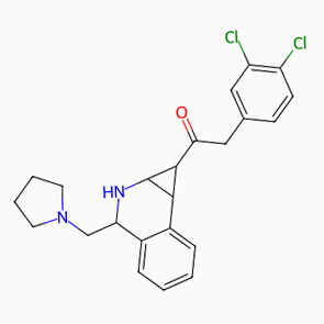 O=C(Cc1ccc(Cl)c(Cl)c1)C1C2NC(CN3CCCC3)c3ccccc3C21